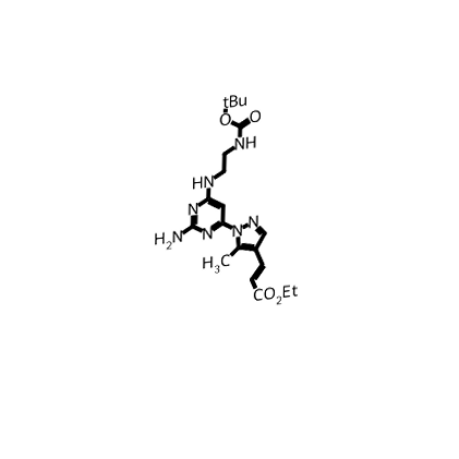 CCOC(=O)C=Cc1cnn(-c2cc(NCCNC(=O)OC(C)(C)C)nc(N)n2)c1C